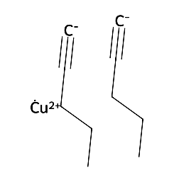 [C-]#CCCC.[C-]#CCCC.[Cu+2]